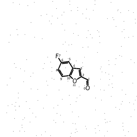 O=Cc1cc2cc(F)ccc2o1